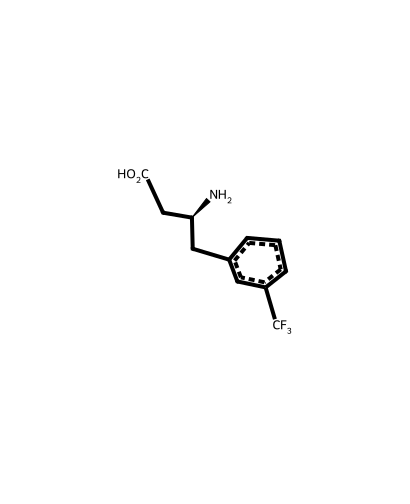 N[C@H](CC(=O)O)Cc1cccc(C(F)(F)F)c1